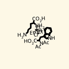 CC(=O)N(C(C)=O)C(Cc1c[nH]c2ccccc12)C(=O)O.CCCl.CCNCC.NCCCCC(N)C(=O)O